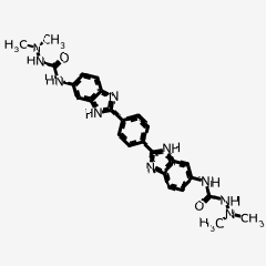 CN(C)NC(=O)Nc1ccc2nc(-c3ccc(-c4nc5ccc(NC(=O)NN(C)C)cc5[nH]4)cc3)[nH]c2c1